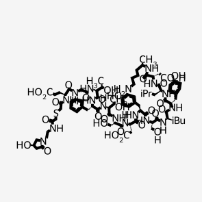 CC[C@H](C)[C@H](NC(=O)[C@H](CO)NC(=O)[C@H](Cc1ccc(O)cc1)NC(=O)[C@H](CC(=O)O)NC(=O)[C@H](CO)NC(=O)[C@@H](NC(=O)[C@H](Cc1ccccc1)NC(=O)[C@@H](NC(=O)CNC(=O)[C@H](CCC(=O)O)NC(=O)CSCC(=O)NCCN1C[C@H](O)CC1=O)[C@@H](C)O)[C@@H](C)O)C(=O)N[C@@H](Cc1ccc(O)cc1)C(=O)N[C@@H](CC(C)C)C(=O)N[C@@H](CC(=O)O)C(=O)N[C@H](C)CCCCN